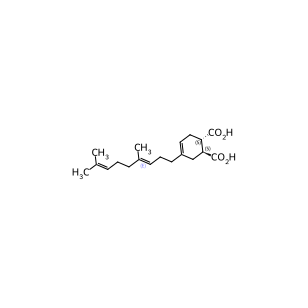 CC(C)=CCC/C(C)=C/CCC1=CC[C@H](C(=O)O)[C@@H](C(=O)O)C1